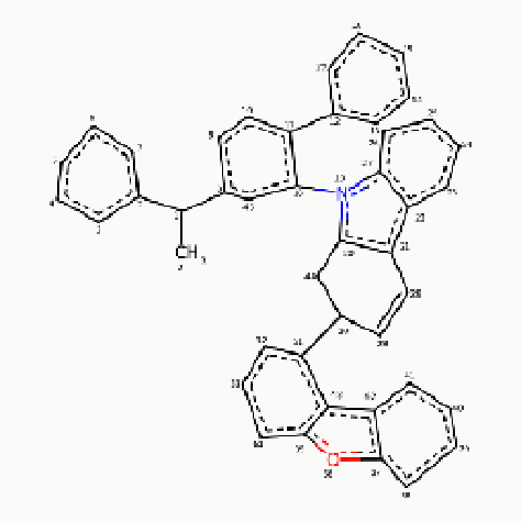 CC(c1ccccc1)c1ccc(-c2ccccc2)c(-n2c3c(c4ccccc42)C=CC(c2cccc4oc5ccccc5c24)C3)c1